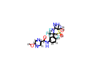 COc1cnc(C(=O)Nc2ccc(F)c([C@@]3(C(F)(F)F)CS(=O)(=O)C(C)(C)C(N)=N3)c2)cn1